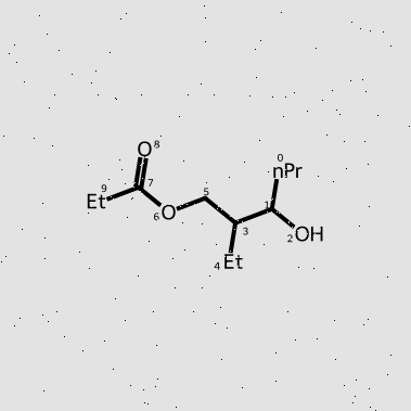 CCCC(O)C(CC)COC(=O)CC